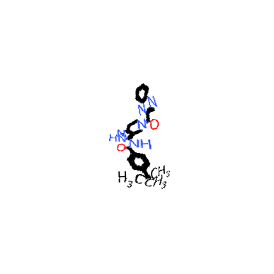 CC(C)(C)c1ccc(C(=O)Nc2[nH]nc3c2CN(C(=O)c2cnc4ccccc4n2)CC3)cc1